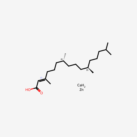 C/C(=C\C(=O)O)CCC[C@H](C)CCC[C@H](C)CCCC(C)C.[CaH2].[Zn]